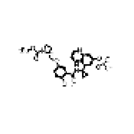 Cc1ccc(OC[C@@H]2CCN2C(=O)OC(C)(C)C)cc1C(=O)NC1(c2cc(OS(=O)(=O)C(F)(F)F)cc3ncccc23)CC1